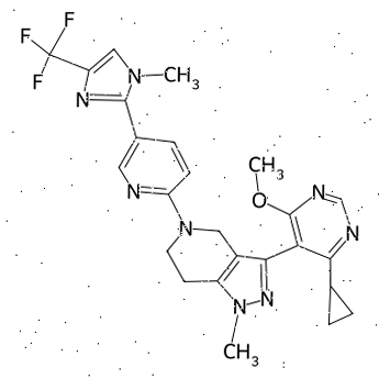 COc1ncnc(C2CC2)c1-c1nn(C)c2c1CN(c1ccc(-c3nc(C(F)(F)F)cn3C)cn1)CC2